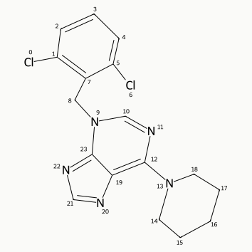 Clc1cccc(Cl)c1Cn1cnc(N2CCCCC2)c2ncnc1-2